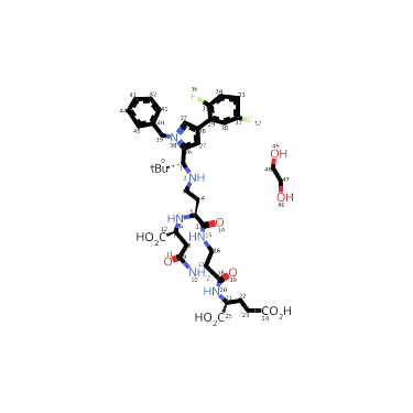 CC(C)(C)[C@@H](NCC[C@H](N[C@@H](CC(N)=O)C(=O)O)C(=O)NCCC(=O)N[C@@H](CCC(=O)O)C(=O)O)c1cc(-c2cc(F)ccc2F)cn1Cc1ccccc1.OCCO